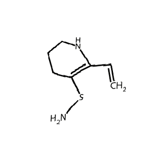 C=CC1=C(SN)CCCN1